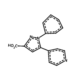 O=C(O)c1cc(-c2ccncc2)n(-c2ccccc2)n1